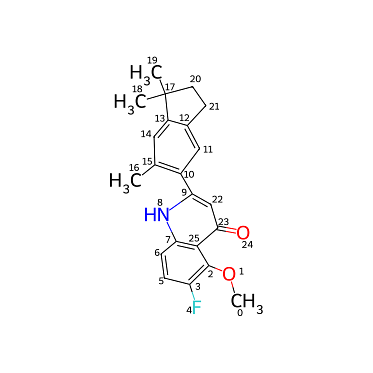 COc1c(F)ccc2[nH]c(-c3cc4c(cc3C)C(C)(C)CC4)cc(=O)c12